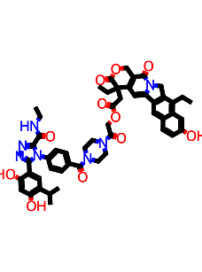 CCNC(=O)c1nnc(-c2cc(C(C)C)c(O)cc2O)n1-c1ccc(C(=O)N2CCN(C(=O)COC(=O)CC3(CC)C(=O)OCc4c3cc3n(c4=O)Cc4c-3cc3ccc(O)cc3c4CC)CC2)cc1